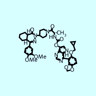 COc1ccc(C2=NN(C3CCN(C(=O)[C@H](C)NC(=O)Oc4c[nH]c5c(-c6c(OCC7CC7)ccc7c6OCO7)ncnc45)CC3)C(=O)[C@@H]3CCCC[C@H]23)cc1OC